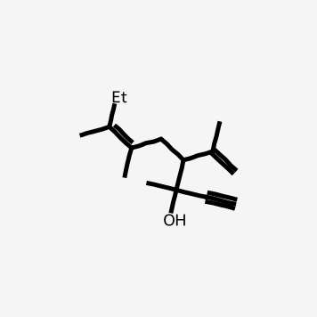 C#CC(C)(O)C(CC(C)=C(C)CC)C(=C)C